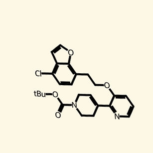 CC(C)(C)OC(=O)N1CC=C(c2ncccc2OCCc2ccc(Cl)c3ccoc23)CC1